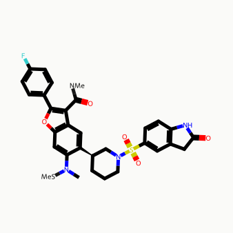 CNC(=O)c1c(-c2ccc(F)cc2)oc2cc(N(C)SC)c([C@@H]3CCCN(S(=O)(=O)c4ccc5c(c4)CC(=O)N5)C3)cc12